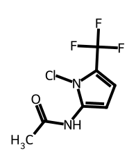 CC(=O)Nc1ccc(C(F)(F)F)n1Cl